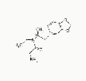 CCN(C(=O)CN)[C@@H](C)Cc1ccc2c(c1)OCO2